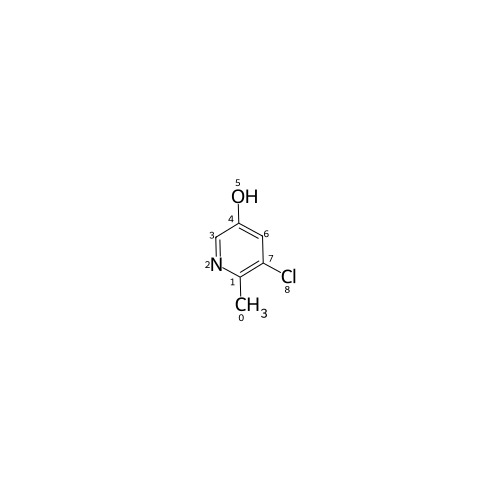 Cc1ncc(O)cc1Cl